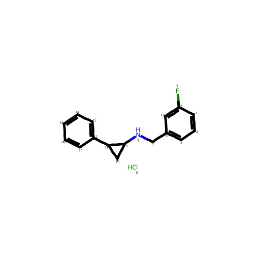 Cl.Fc1cccc(CNC2CC2c2ccccc2)c1